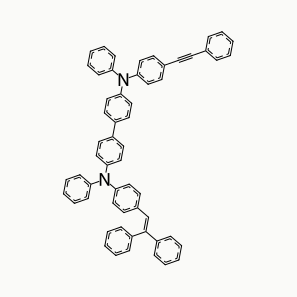 C(#Cc1ccc(N(c2ccccc2)c2ccc(-c3ccc(N(c4ccccc4)c4ccc(C=C(c5ccccc5)c5ccccc5)cc4)cc3)cc2)cc1)c1ccccc1